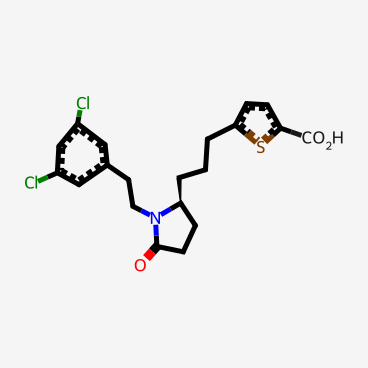 O=C(O)c1ccc(CCC[C@H]2CCC(=O)N2CCc2cc(Cl)cc(Cl)c2)s1